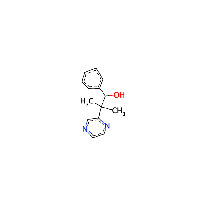 CC(C)(c1cnccn1)C(O)c1ccccc1